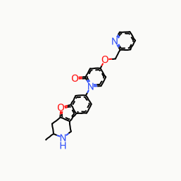 CC1Cc2oc3cc(-n4ccc(OCc5ccccn5)cc4=O)ccc3c2CN1